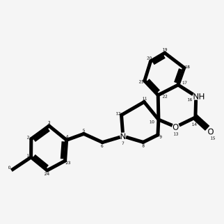 Cc1ccc(CCN2CCC3(CC2)OC(=O)Nc2ccccc23)cc1